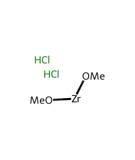 C[O][Zr][O]C.Cl.Cl